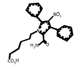 NC(=O)c1c(-c2ccccc2)c([N+](=O)[O-])c(-c2ccccc2)n1CCCCCC(=O)O